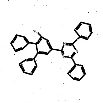 N#Cc1cc(-c2nc(-c3ccccc3)nc(-c3ccccc3)n2)cc(-c2ccccc2)c1-c1ccccc1